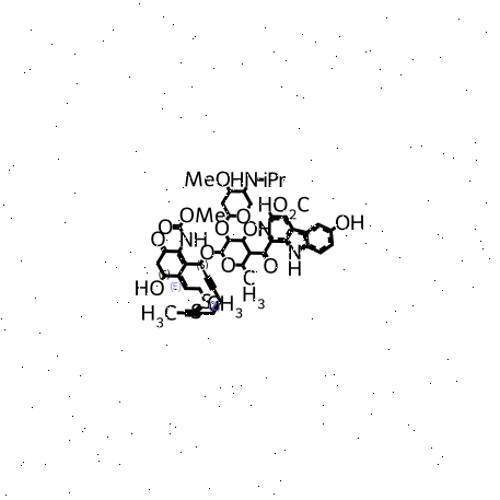 CC#C/C=C\C#C[C@H](OC1OC(C)C(C(=O)c2nc(C(=O)O)cc3c2[nH]c2ccc(O)cc23)C(O)C1OC1CC(OC)C(NC(C)C)CO1)C1=C(NC(=O)OC)C(=O)C[C@H](O)/C1=C/CS(C)=S